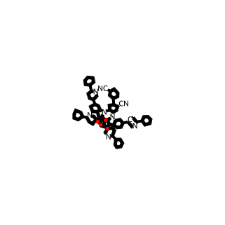 N#Cc1cccc(-c2cc(-n3c4cc(-c5ccc(-c6ccccc6)nc5)ccc4c4ccc(-c5ccc(-c6ccccc6)nc5)cc43)c(-n3c4cc(-c5ccc(-c6ccccc6)nc5)ccc4c4ccc(-c5ccc(-c6ccccc6)nc5)cc43)cc2C#N)c1